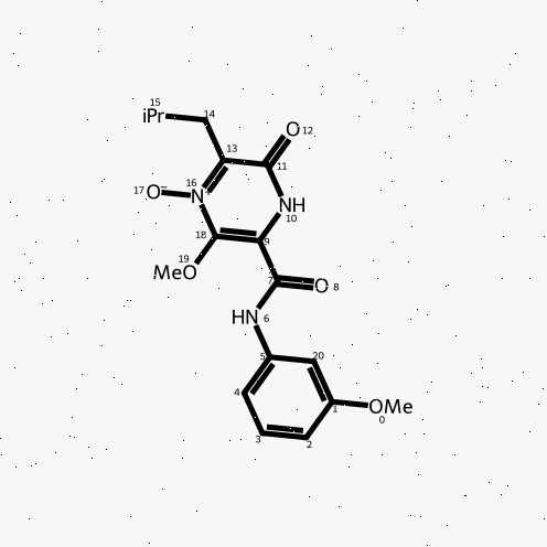 COc1cccc(NC(=O)c2[nH]c(=O)c(CC(C)C)[n+]([O-])c2OC)c1